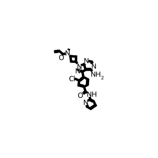 C=CC(=O)N(C)C1CC(n2nc(-c3ccc(C(=O)Nc4ccccn4)cc3Cl)c3c(N)ncnc32)C1